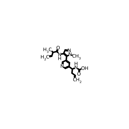 C=CCC(NC(=O)O)c1cncc(-c2c(NC(=O)C(C)C=C)cnn2C)c1